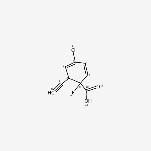 C#CC1C=C(Cl)C=CC1(F)C(=O)O